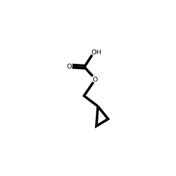 O=C(O)OCC1CC1